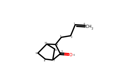 C=CCCC1C(=O)C2CCC1C2